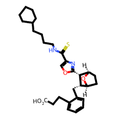 O=C(O)CCc1ccccc1C[C@@H]1[C@H](c2nc(C(=S)NCCCCC3CCCCC3)co2)[C@H]2CC[C@@H]1O2